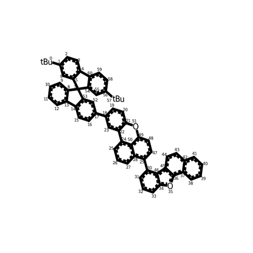 CC(C)(C)c1ccc2c(c1)C1(c3ccccc3-c3ccc(-c4ccc5c(c4)-c4cccc6c(-c7cccc8oc9c%10ccccc%10ccc9c78)ccc(c46)O5)cc31)c1cc(C(C)(C)C)ccc1-2